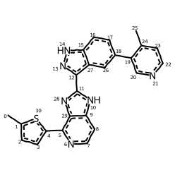 Cc1ccc(-c2nccc3[nH]c(-c4n[nH]c5ccc(-c6cnccc6C)cc45)nc23)s1